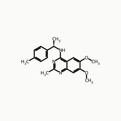 COc1cc2nc(C)nc(N[C@H](C)c3ccc(C)cc3)c2cc1OC